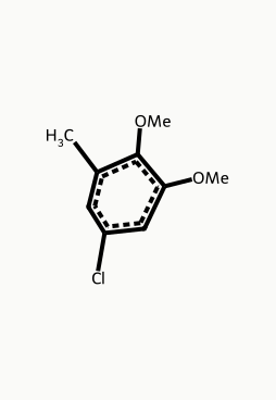 COc1cc(Cl)cc(C)c1OC